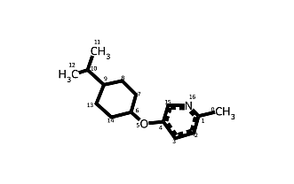 Cc1[c]cc(OC2CCC(C(C)C)CC2)cn1